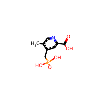 Cc1cnc(C(=O)O)cc1CP(=O)(O)O